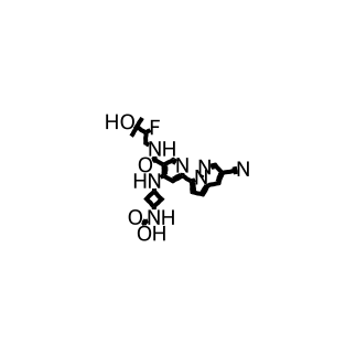 CC(C)(O)C(F)CNC(=O)c1cnc(-c2ccc3cc(C#N)cnn23)cc1NC1CC(NC(=O)O)C1